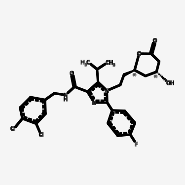 CC(C)c1c(C(=O)NCc2ccc(Cl)c(Cl)c2)nc(-c2ccc(F)cc2)n1CC[C@@H]1C[C@@H](O)CC(=O)O1